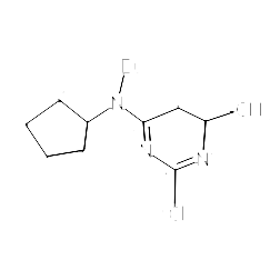 CCN(C1=NC(Cl)=NC(C)C1)C1CCCC1